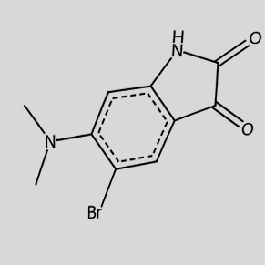 CN(C)c1cc2c(cc1Br)C(=O)C(=O)N2